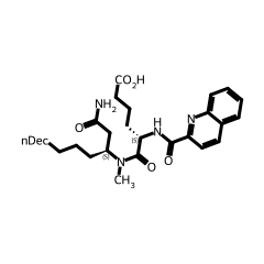 CCCCCCCCCCCCC[C@@H](CC(N)=O)N(C)C(=O)[C@H](CCCC(=O)O)NC(=O)c1ccc2ccccc2n1